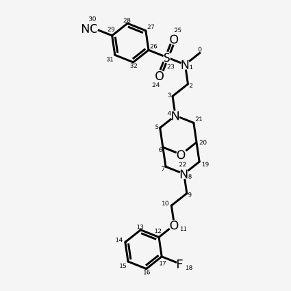 CN(CCN1CC2CN(CCOc3ccccc3F)CC(C1)O2)S(=O)(=O)c1ccc(C#N)cc1